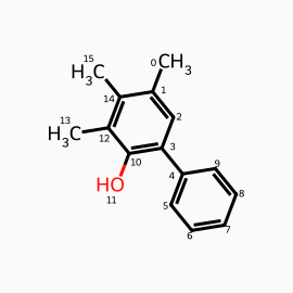 Cc1cc(-c2ccccc2)c(O)c(C)c1C